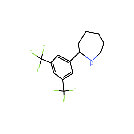 FC(F)(F)c1cc(C2CCCCCN2)cc(C(F)(F)F)c1